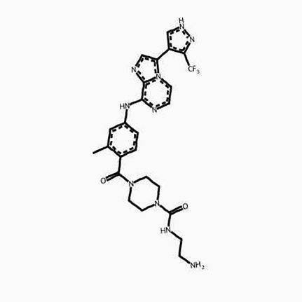 Cc1cc(Nc2nccn3c(-c4c[nH]nc4C(F)(F)F)cnc23)ccc1C(=O)N1CCN(C(=O)NCCN)CC1